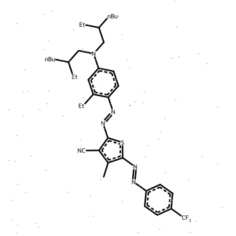 CCCCC(CC)CN(CC(CC)CCCC)c1ccc(N=Nc2sc(N=Nc3ccc(C(F)(F)F)cc3)c(C)c2C#N)c(CC)c1